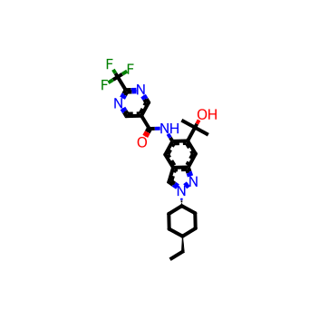 CC[C@H]1CC[C@H](n2cc3cc(NC(=O)c4cnc(C(F)(F)F)nc4)c(C(C)(C)O)cc3n2)CC1